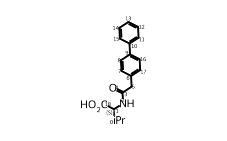 CC(C)[C@H](NC(=O)Cc1ccc(-c2ccccc2)cc1)C(=O)O